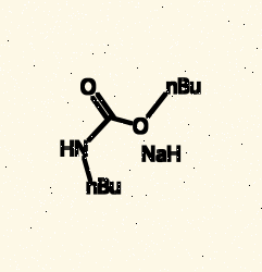 CCCCNC(=O)OCCCC.[NaH]